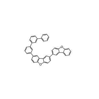 c1ccc(-c2cccc(-c3cccc(-c4ccc5oc6ccc(-c7ccc8oc9ccccc9c8c7)cc6c5c4)c3)c2)cc1